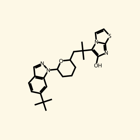 CC(C)(C)c1ccc2cnn(C3CCCC(CC(C)(C)c4c(O)nc5sccn45)O3)c2c1